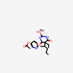 CC(=O)[O-].CCCC(C)C1(CC)C(=O)N=C(O)NC1=O.[Na+].c1ccncc1